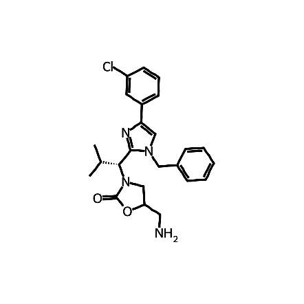 CC(C)[C@H](c1nc(-c2cccc(Cl)c2)cn1Cc1ccccc1)N1CC(CN)OC1=O